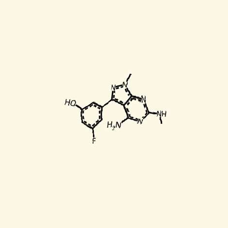 CNc1nc(N)c2c(-c3cc(O)cc(F)c3)nn(C)c2n1